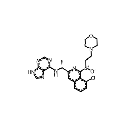 C[C@H](Nc1ncnc2[nH]cnc12)c1cc2cccc(Cl)c2c([S+]([O-])CCN2CCOCC2)n1